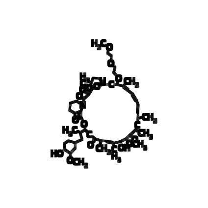 COCCOCCOC1C[C@@H]2CC[C@@H](C)[C@@](O)(O2)C(=O)C(=O)N2CCCC[C@H]2C(=O)O[C@H]([C@H](C)CC2CC[C@@H](O)[C@H](OC)C2)CC(=O)[C@H](C)/C=C(\C)[C@@H](O)[C@@H](OC)C(=O)[C@H](C)C[C@H](C)/C=C/C=C/C=C/1C